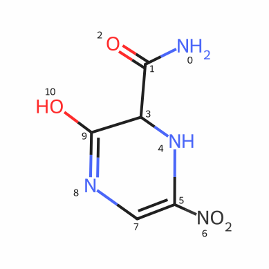 NC(=O)C1NC([N+](=O)[O-])=CN=C1O